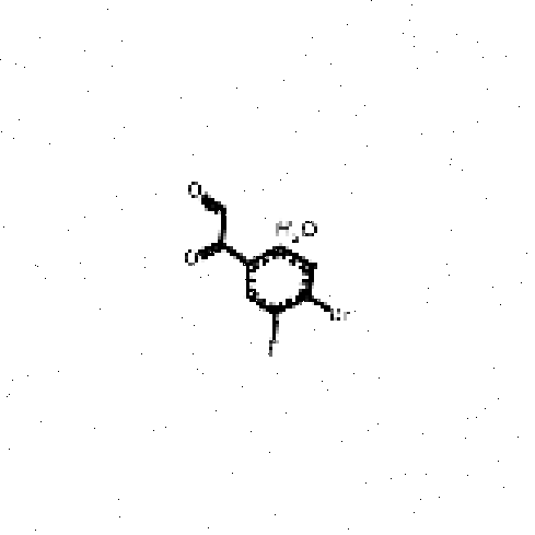 O.O=CC(=O)c1ccc(Br)c(F)c1